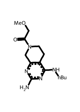 CCCCNc1nc(N)nc2c1CCN(C(=O)COC)C2